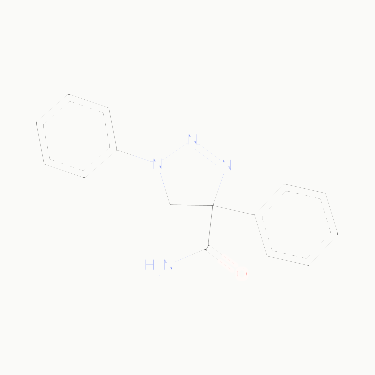 NC(=O)C1(c2ccccc2)CN(c2ccccc2)N=N1